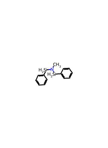 CN([SiH2]c1ccccc1)[SiH2]c1ccccc1